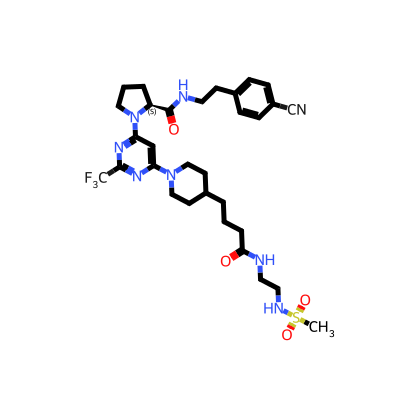 CS(=O)(=O)NCCNC(=O)CCCC1CCN(c2cc(N3CCC[C@H]3C(=O)NCCc3ccc(C#N)cc3)nc(C(F)(F)F)n2)CC1